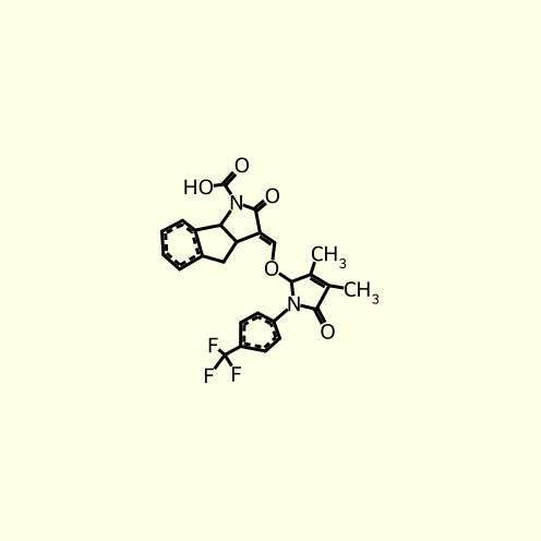 CC1=C(C)C(OC=C2C(=O)N(C(=O)O)C3c4ccccc4CC23)N(c2ccc(C(F)(F)F)cc2)C1=O